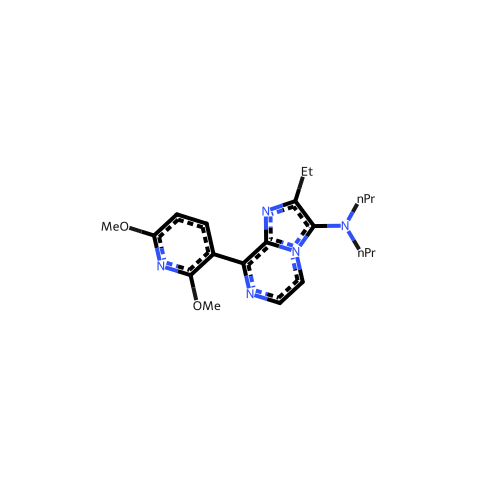 CCCN(CCC)c1c(CC)nc2c(-c3ccc(OC)nc3OC)nccn12